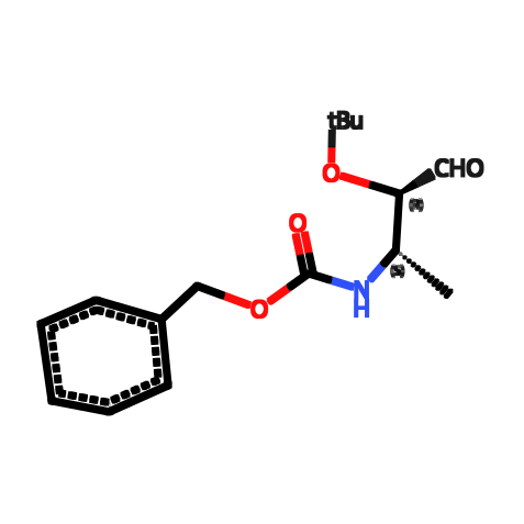 C[C@H](NC(=O)OCc1ccccc1)[C@H](C=O)OC(C)(C)C